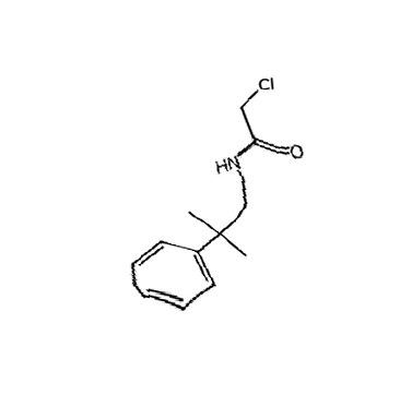 CC(C)(CNC(=O)CCl)c1ccccc1